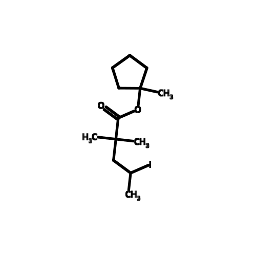 CC(I)CC(C)(C)C(=O)OC1(C)CCCC1